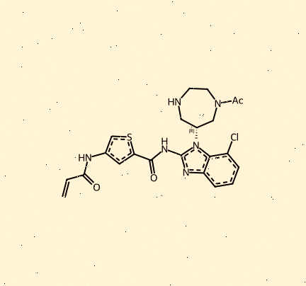 C=CC(=O)Nc1csc(C(=O)Nc2nc3cccc(Cl)c3n2[C@@H]2CNCCN(C(C)=O)C2)c1